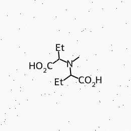 CCC(C(=O)O)N(C)C(CC)C(=O)O